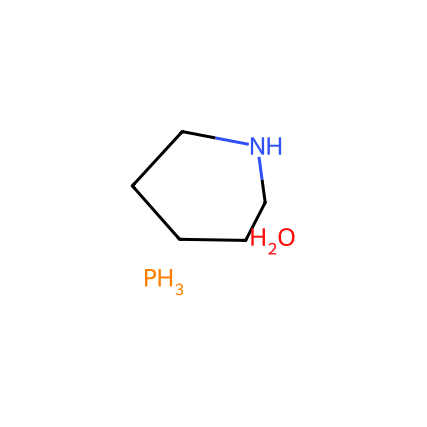 C1CCNCC1.O.P